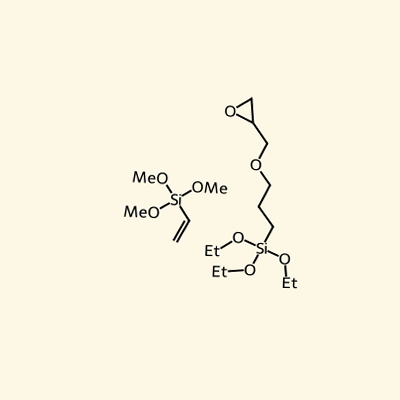 C=C[Si](OC)(OC)OC.CCO[Si](CCCOCC1CO1)(OCC)OCC